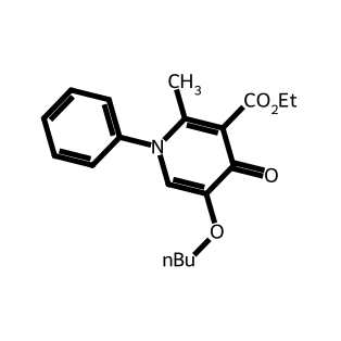 CCCCOc1cn(-c2ccccc2)c(C)c(C(=O)OCC)c1=O